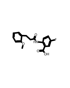 COc1ccccc1CCC(=O)Nc1ccc(F)cc1C(=O)O